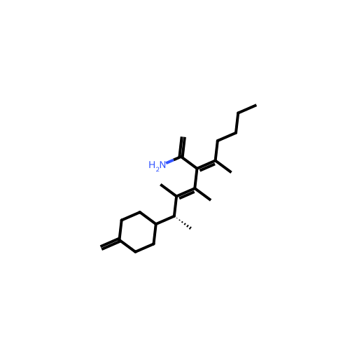 C=C1CCC([C@@H](C)/C(C)=C(C)/C(C(=C)N)=C(\C)CCCC)CC1